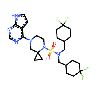 O=S(=O)(N(CC1CCC(F)(F)CC1)CC1CCC(F)(F)CC1)N1CCN(c2ncnc3[nH]ccc23)CC12CC2